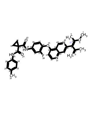 C=C(C)/C(=C(/C)OC)c1cc2nccc(Oc3ccc(NC(=O)C4(C(=O)Nc5ccc(C)cc5)CC4)cc3F)c2cn1